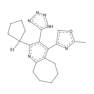 CCC1(c2nc3c(c(-c4coc(C)n4)c2-c2nnn[nH]2)CCCCC3)CCCC1